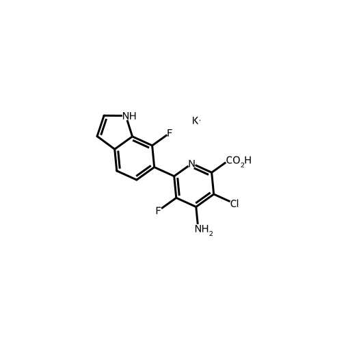 Nc1c(F)c(-c2ccc3cc[nH]c3c2F)nc(C(=O)O)c1Cl.[K]